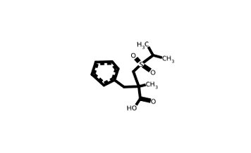 CC(C)S(=O)(=O)CC(C)(Cc1ccccc1)C(=O)O